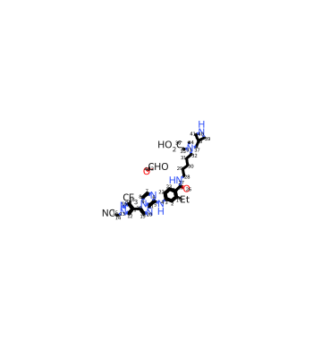 CCc1cc(Nc2nccn3c(-c4cn(CC#N)nc4C(F)(F)F)cnc23)ccc1C(=O)NCCCCC[N+](C)(CC(=O)O)CC1CNC1.O=C[O-]